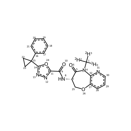 [2H]C([2H])([2H])N1C(=O)[C@@H](NC(=O)c2nnc(C3(c4ccccc4)CC3)o2)COc2cccnc21